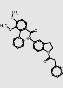 COc1ccc(C(=O)Nc2ccc3c(c2)CCN3C(=O)Cc2ccccn2)c(-c2ccccc2)c1OC